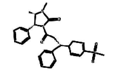 C[C@H]1[C@@H](c2ccccc2)N(C(=O)C[C@@H](c2ccccc2)C2C=CC(S(C)(=O)=O)=CC2)C(=O)N1C